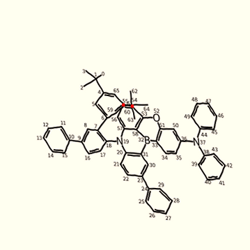 CC(C)(C)c1cc(-c2cc(-c3ccccc3)ccc2N2c3ccc(-c4ccccc4)cc3B3c4ccc(N(c5ccccc5)c5ccccc5)cc4Oc4cccc2c43)cc(C(C)(C)C)c1